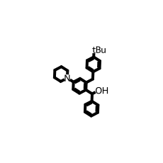 CC(C)(C)c1ccc(Cc2cc(N3CCCCC3)ccc2C(O)c2ccccc2)cc1